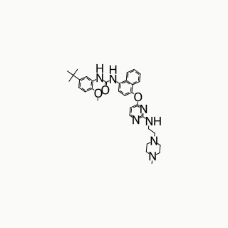 COc1ccc(C(C)(C)C)cc1NC(=O)Nc1ccc(Oc2ccnc(NCCN3CCN(C)CC3)n2)c2ccccc12